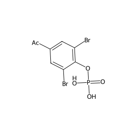 CC(=O)c1cc(Br)c(OP(=O)(O)O)c(Br)c1